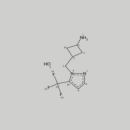 Cl.NC1CC(Cn2nccc2C(F)(F)F)C1